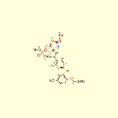 COCOc1ccc(C#N)cc1Sc1ccc(CC[C@@](C)(COP(=O)(OC)OC)NC(=O)OC(C)(C)C)c(Cl)c1